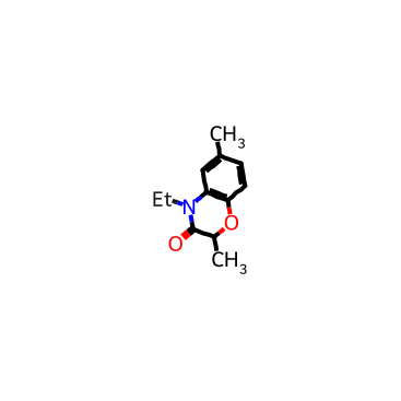 CCN1C(=O)C(C)Oc2ccc(C)cc21